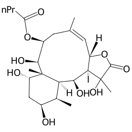 CCCC(=O)O[C@H]1C/C(C)=C\[C@@H]2OC(=O)C(C)(O)[C@@]2(I)[C@@H](O)[C@H]2[C@@H](C)[C@@H](O)C[C@H](O)[C@]2(C)[C@H]1O